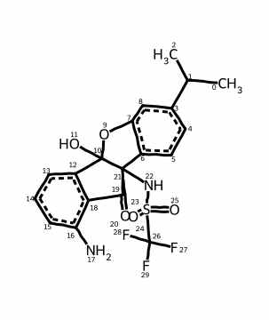 CC(C)c1ccc2c(c1)OC1(O)c3cccc(N)c3C(=O)C21NS(=O)(=O)C(F)(F)F